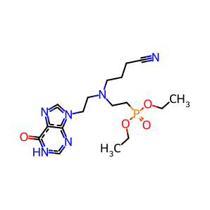 CCOP(=O)(CCN(CCCC#N)CCn1cnc2c(=O)[nH]cnc21)OCC